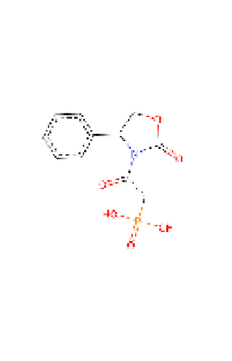 O=C(CP(=O)(O)O)N1C(=O)OCC1c1ccccc1